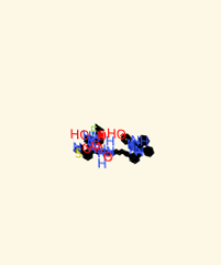 Cc1ncsc1-c1cccc([C@H](CC(=O)NCC(=O)NCCCCC#Cc2cccc(Cn3c(-c4ccccc4)c(-c4ccccc4)c4c(=N)n(C5CCC(O)CC5)cnc43)c2)NC(=O)[C@@H]2C[C@@H](O)CN2C(=O)C(NC(=O)C2(F)CC2)C(C)(C)C)c1